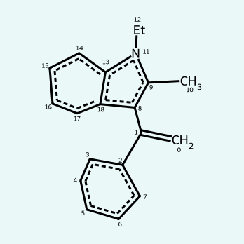 C=C(c1ccccc1)c1c(C)n(CC)c2ccccc12